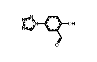 O=Cc1cc(-n2cnnn2)ccc1O